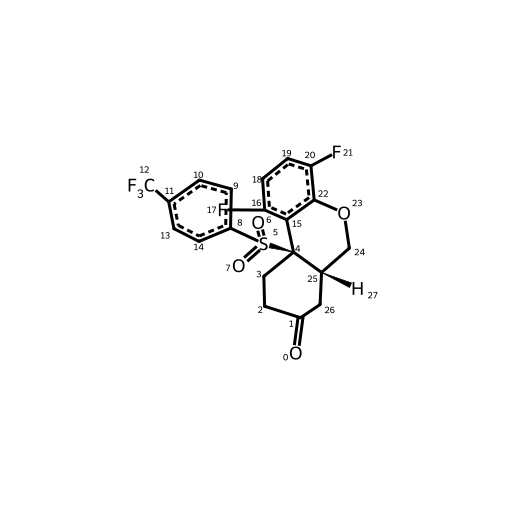 O=C1CC[C@]2(S(=O)(=O)c3ccc(C(F)(F)F)cc3)c3c(F)ccc(F)c3OC[C@@H]2C1